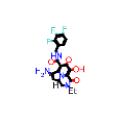 CCN1C[C@H]2C[C@@H](N)c3c(C(=O)NCc4ccc(F)c(F)c4F)c(=O)c(O)c(n32)C1=O